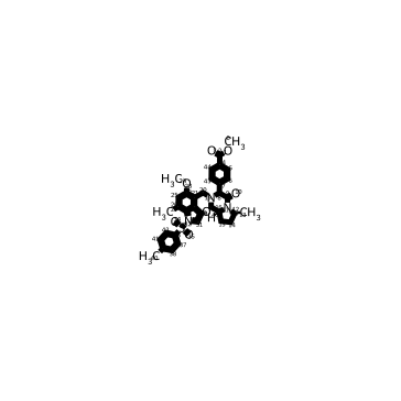 COC(=O)c1ccc(C2C(=O)N3[C@@H](C)CC[C@H]3C(=O)N2Cc2c(OC)cc(C)c3c2ccn3S(=O)(=O)c2ccc(C)cc2)cc1